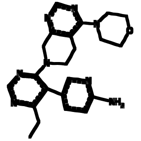 CCc1ncnc(N2CCc3c(ncnc3N3CCOCC3)C2)c1-c1ccc(N)nc1